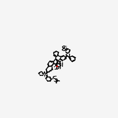 CC(C)Sc1cccc(N(c2ccccc2)c2ccc3c4c(ccc3c2)-c2c(c3ccc(N(c5ccccc5)c5cccc([Si](C)(C)C)c5)cc3c3ccccc23)C4([Si](C)(C)C)[Si](C)(C)C)c1